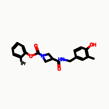 Cc1cc(CNC(=O)C2CN(C(=O)Oc3ccccc3C(C)C)C2)ccc1O